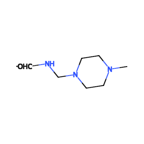 CN1CCN(CN[C]=O)CC1